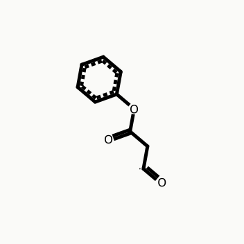 O=[C]CC(=O)Oc1ccccc1